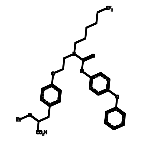 CCOC(Cc1ccc(OCCN(CCCCCC(F)(F)F)C(=O)Oc2ccc(Oc3ccccc3)cc2)cc1)C(=O)O